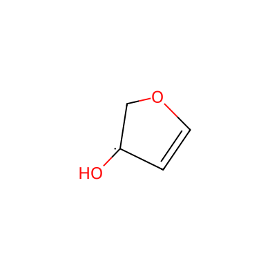 O[C]1C=COC1